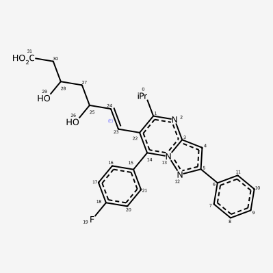 CC(C)c1nc2cc(-c3ccccc3)nn2c(-c2ccc(F)cc2)c1/C=C/C(O)CC(O)CC(=O)O